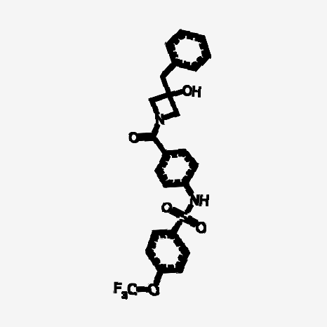 O=C(c1ccc(NS(=O)(=O)c2ccc(OC(F)(F)F)cc2)cc1)N1CC(O)(Cc2ccccc2)C1